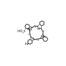 O=S(=O)(O)c1cccc2c3nc4nc(nc5[nH]c(nc6nc(nc([nH]3)c12)-c1ccccc1-6)c1ccccc51)-c1ccccc1-4.[Fe]